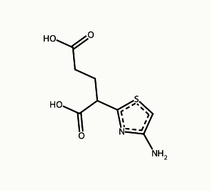 Nc1csc(C(CCC(=O)O)C(=O)O)n1